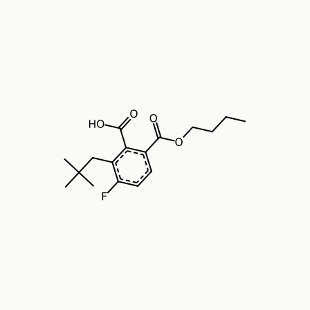 CCCCOC(=O)c1ccc(F)c(CC(C)(C)C)c1C(=O)O